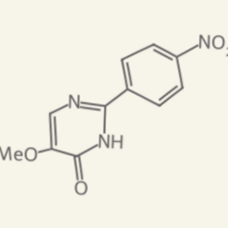 COc1cnc(-c2ccc([N+](=O)[O-])cc2)[nH]c1=O